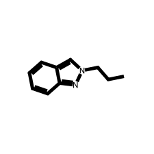 CCCn1cc2ccccc2n1